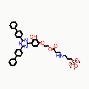 CO[Si](CCCNCCC(=O)OCCOc1ccc(-c2nc(-c3ccc(-c4ccccc4)cc3)nc(-c3ccc(-c4ccccc4)cc3)n2)c(O)c1)(OC)OC